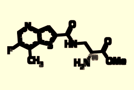 COC(=O)[C@H](N)CNC(=O)c1cc2ncc(F)c(C)c2s1